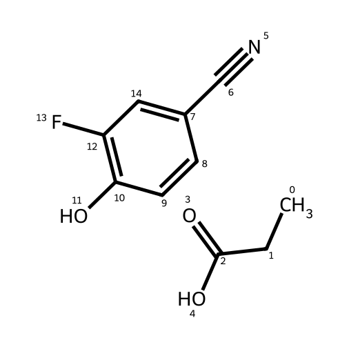 CCC(=O)O.N#Cc1ccc(O)c(F)c1